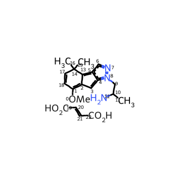 COC1=C2C=c3c(cnn3CC(C)N)=C2C(C)(C)C=C1.O=C(O)C=CC(=O)O